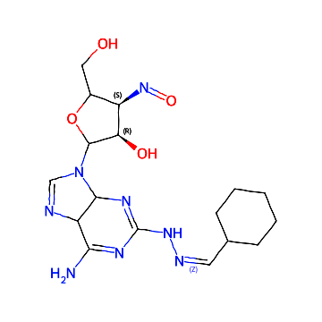 NC1=NC(N/N=C\C2CCCCC2)=NC2C1N=CN2C1OC(CO)[C@@H](N=O)[C@H]1O